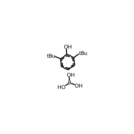 CC(C)(C)c1cccc(C(C)(C)C)c1O.OB(O)O